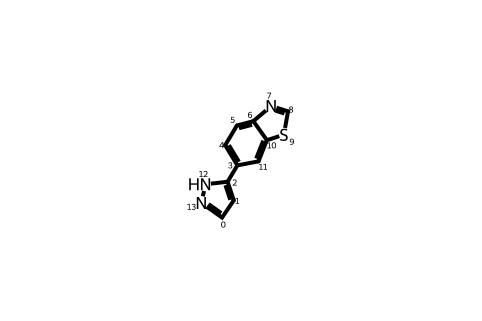 c1cc(-c2ccc3ncsc3c2)[nH]n1